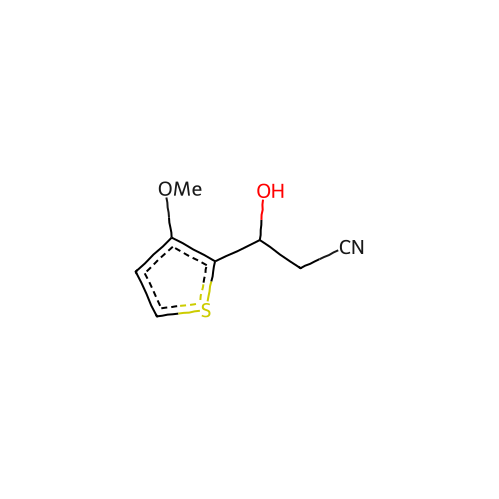 COc1ccsc1C(O)CC#N